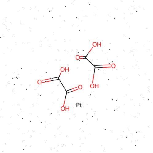 O=C(O)C(=O)O.O=C(O)C(=O)O.[Pt]